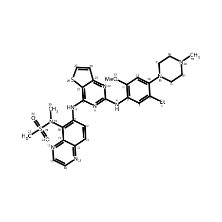 CCc1cc(Nc2nc(Nc3ccc4nccnc4c3N(C)S(C)(=O)=O)c3sccc3n2)c(OC)cc1N1CCN(C)CC1